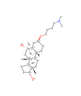 CN(C)CCCCO[C@H]1CC[C@@]2(C)[C@H](C1)[C@@H](O)C[C@@H]1[C@@H]2CC[C@]2(C)C(O)CC[C@@H]12